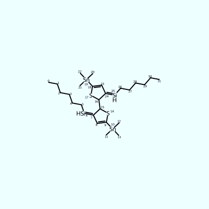 CCCCCC[SiH]=C1C=[C]([Sn]([CH3])([CH3])[CH3])SC1C1S[C]([Sn]([CH3])([CH3])[CH3])=CC1=[SiH]CCCCCC